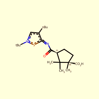 CCCCc1cn(C(C)(C)C)sc1=NC(=O)[C@H]1CC[C@@](C)(C(=O)O)C1(C)C